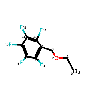 CCC(C)COCc1c(F)c(F)c(F)c(F)c1F